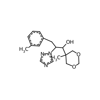 Cc1cccc(CC(C(O)C2(C)COCOC2)n2cncn2)c1